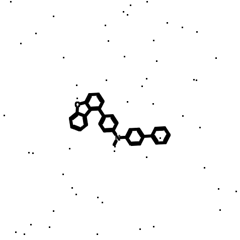 CN(c1ccc(-c2ccccc2)cc1)c1ccc(-c2cccc3oc4ccccc4c23)cc1